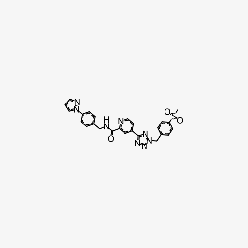 CS(=O)(=O)c1ccc(Cn2nnc(-c3ccnc(C(=O)NCc4ccc(-n5cccn5)cc4)c3)n2)cc1